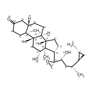 C[C@@H]1C[C@H]1[C@H](C)C[C@@H](O)[C@@]1([C@H]2CC[C@H]3[C@@H]4CC[C@H]5CC(=O)CC[C@]5(C)[C@H]4C[C@@H](O)[C@]23C)CO1